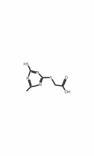 Cc1nc(S)nc(SCC(=O)O)n1